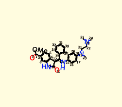 COC(=O)c1ccc2c(c1)NC(=O)/C2=C(\Nc1ccc(N(C)CCN(C)C)cc1)c1ccccc1